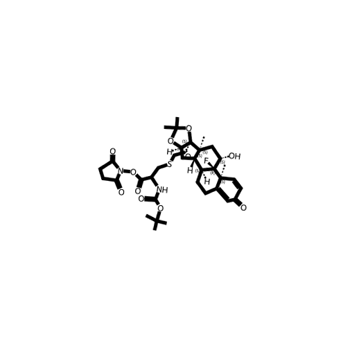 CC(C)(C)OC(=O)NC(CSCC(=O)[C@@]12OC(C)(C)O[C@@H]1C[C@H]1[C@@H]3CCC4=CC(=O)C=C[C@]4(C)[C@@]3(F)[C@@H](O)C[C@@]12C)C(=O)ON1C(=O)CCC1=O